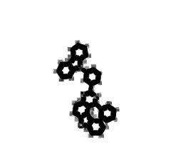 c1ccc(-c2nc(-c3cccc(-n4c5ccccc5c5ccccc54)c3)nc3ccc4oc5ccccc5c4c23)cc1